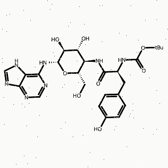 CC(C)(C)OC(=O)N[C@@H](Cc1ccc(O)cc1)C(=O)N[C@@H]1[C@@H](O)[C@H](O)[C@@H](Nc2ncnc3nc[nH]c23)O[C@H]1CO